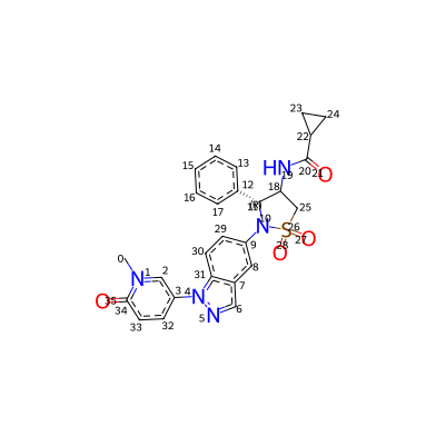 Cn1cc(-n2ncc3cc(N4[C@H](c5ccccc5)C(NC(=O)C5CC5)CS4(=O)=O)ccc32)ccc1=O